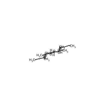 CCCCCCCCCCCCCN(C)CC(=O)OC(CCCCC)C(O)C/C=C/CC(=O)NCCNC(=O)C/C=C/CC(O)C(CCCCC)OC(=O)CN(C)CCCCCCCCCCCCC